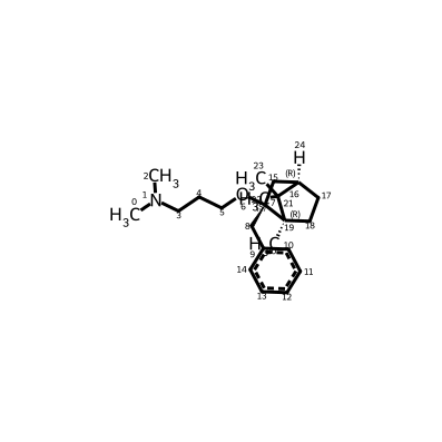 CN(C)CCCO[C@]1(Cc2ccccc2)C[C@H]2CC[C@]1(C)C2(C)C